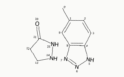 Cc1ccc2[nH]nnc2c1.O=C1CCNN1